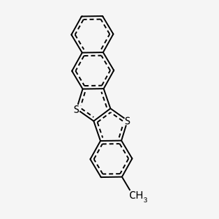 Cc1ccc2c(c1)sc1c3cc4ccccc4cc3sc21